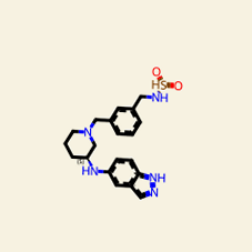 O=[SH](=O)NCc1cccc(CN2CCC[C@H](Nc3ccc4[nH]ncc4c3)C2)c1